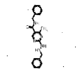 Cc1nc(NNCc2ccccc2)ncc1C(=O)NCc1ccccc1